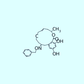 CC1C/C=C/CCCC/C(=N\OCc2ccccc2)Cc2cc(O)cc(O)c2C(=O)O1